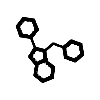 c1ccc(Cc2c(-c3ccccc3)cc3ccccn23)cc1